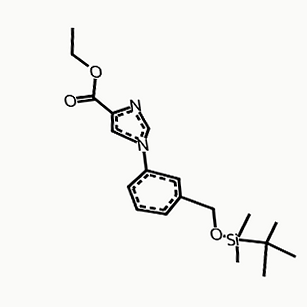 CCOC(=O)c1cn(-c2cccc(CO[Si](C)(C)C(C)(C)C)c2)cn1